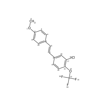 COc1ccc(C=Cc2ccc(OC(F)(F)F)c(Cl)c2)cc1